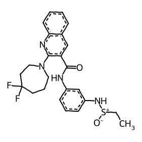 CC[S+]([O-])Nc1cccc(NC(=O)c2cc3ccccc3nc2N2CCCC(F)(F)CC2)c1